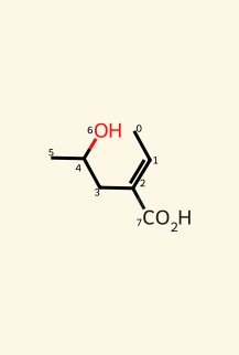 CC=C(CC(C)O)C(=O)O